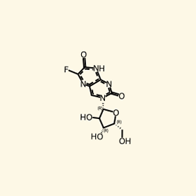 O=c1[nH]c2nc(=O)n([C@@H]3O[C@H](CO)[C@H](O)C3O)cc2nc1F